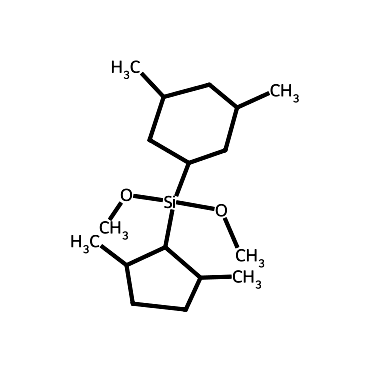 CO[Si](OC)(C1CC(C)CC(C)C1)C1C(C)CCC1C